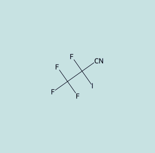 N#CC(F)(I)C(F)(F)F